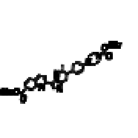 COC(=O)c1ccc2ccc(-c3cnc4cc(-c5ccc(N6CCN(C(=O)OC(C)(C)C)CC6)cc5)c(C)nn34)nc2c1